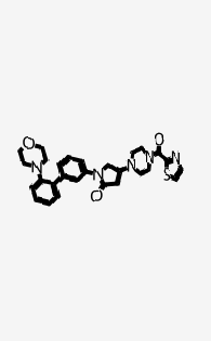 O=C(c1nccs1)N1CCN(C2CC(=O)N(c3cccc(-c4ccccc4N4CCOCC4)c3)C2)CC1